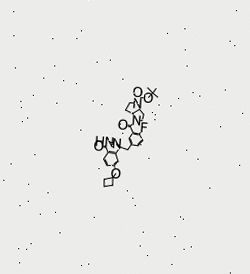 CC(C)(C)OC(=O)N1CCC2C1CCN2C(=O)c1cc(Cc2n[nH]c(=O)c3ccc(OC4CCC4)cc23)ccc1F